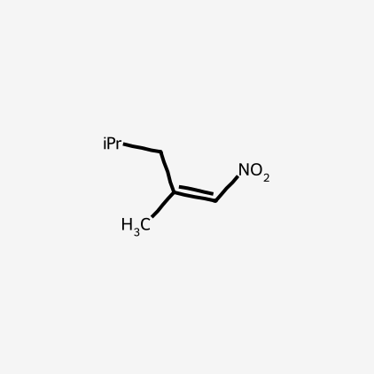 CC(=C[N+](=O)[O-])CC(C)C